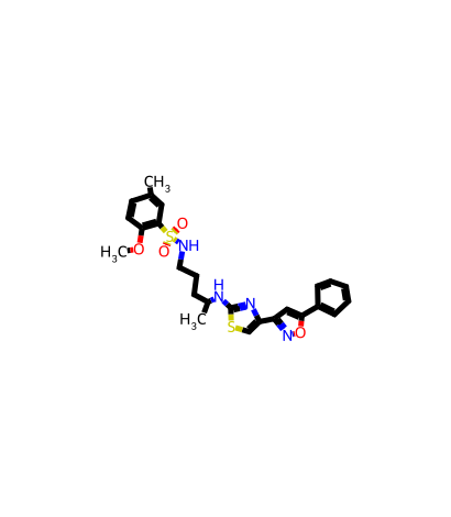 COc1ccc(C)cc1S(=O)(=O)NCCCC(C)Nc1nc(-c2cc(-c3ccccc3)on2)cs1